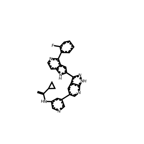 C=C(Nc1cncc(-c2cnc3[nH]nc(-c4cc5c(-c6ccccc6F)nccc5[nH]4)c3c2)c1)C1CC1